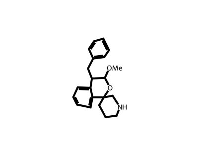 COC1OC2(CCCNC2)c2ccccc2C1Cc1ccccc1